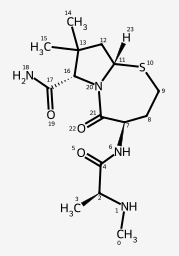 CN[C@@H](C)C(=O)N[C@@H]1CCS[C@H]2CC(C)(C)[C@@H](C(N)=O)N2C1=O